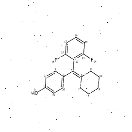 Oc1ccc(C(=C2CCCCC2)c2c(F)cccc2F)cc1